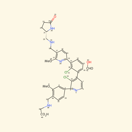 COc1cc(-c2nccc(-c3cccc(-c4ccc(CNC[C@@H]5CCC(=O)N5)c(OC)n4)c3Cl)c2Cl)ccc1CNCC(=O)O.O=CO